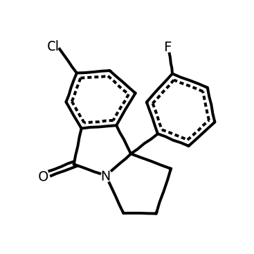 O=C1c2cc(Cl)ccc2C2(c3cccc(F)c3)CCCN12